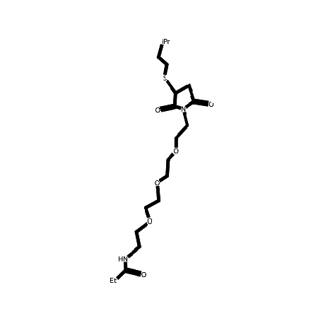 CCC(=O)NCCOCCOCCOCCN1C(=O)CC(SCCC(C)C)C1=O